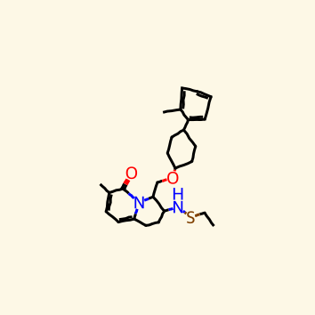 CCSNC1CCc2ccc(C)c(=O)n2C1COC1CCC(c2ccccc2C)CC1